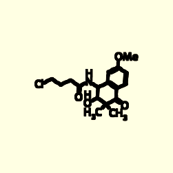 COc1ccc2c(c1)C(NC(=O)CCCCl)C(O)C(C)(C)C2=O